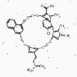 Cc1c2c(nn1C)COCc1cc(nn1CCN(C)C)CSc1cc(c3ccccc3c1)OCCCc1c(C(=O)O)n(C)c3c-2c(Cl)ccc13